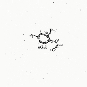 CC(=O)Oc1ccc(F)cc1F.Cl